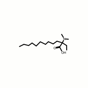 CCCCCCCCCCC(CC)(C(=O)O)N(C)C